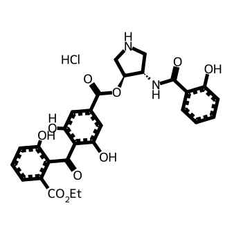 CCOC(=O)c1cccc(O)c1C(=O)c1c(O)cc(C(=O)O[C@H]2CNC[C@@H]2NC(=O)c2ccccc2O)cc1O.Cl